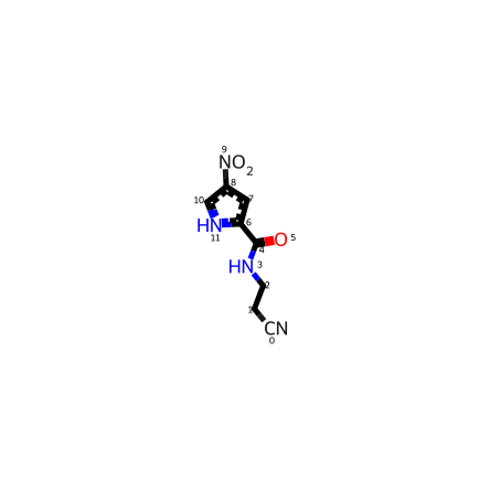 N#CCCNC(=O)c1cc([N+](=O)[O-])c[nH]1